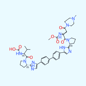 COC(=O)N[C@@H](CC(=O)N1CCN(C)CC1)C(=O)N1CCC[C@H]1c1ncc(-c2ccc(-c3ccc(-c4cnc([C@@H]5CCCN5C(=O)[C@@H](NC(=O)O)C(C)C)[nH]4)cc3)cc2)[nH]1